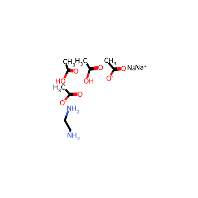 CC(=O)O.CC(=O)O.CC(=O)[O-].CC(=O)[O-].NCCN.[Na+].[Na+]